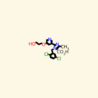 Cc1nc(-c2cncc(OCCCO)c2)n(Cc2cc(Cl)ccc2Cl)c1C(=O)O